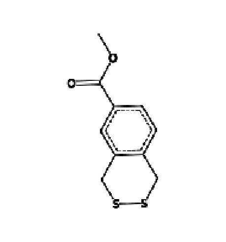 COC(=O)c1ccc2c(c1)CSSC2